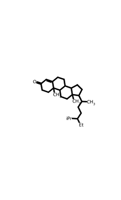 CCC(CCC(C)C1CCC2C3CCC4=CC(=O)CCC4(C)C3CCC12C)C(C)C